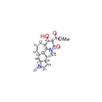 CCn1c2c(c(O)c(C(=O)OC)c1=O)CC=Cc1cc3c(ccn3C)cc1-2